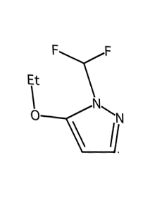 CCOc1c[c]nn1C(F)F